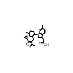 Cc1ccc(-n2cc(CC(=O)O)c3ccc(C)nc32)c(Cc2c(C)noc2C2CC2)c1